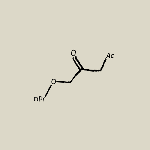 CCCOCC(=O)CC(C)=O